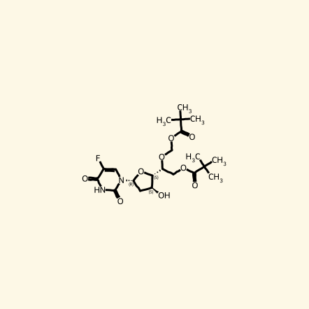 CC(C)(C)C(=O)OCOC(COC(=O)C(C)(C)C)[C@H]1O[C@@H](n2cc(F)c(=O)[nH]c2=O)C[C@@H]1O